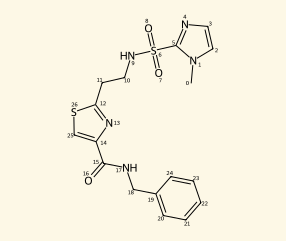 Cn1ccnc1S(=O)(=O)NCCc1nc(C(=O)NCc2ccccc2)cs1